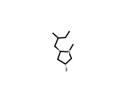 CCC(C)C[C@@H]1C[C@@H](F)CN1C